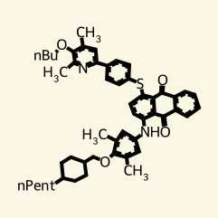 CCCCCC1CCC(COc2c(C)cc(Nc3ccc(Sc4ccc(-c5cc(C)c(OCCCC)c(C)n5)cc4)c4c3C(=O)c3ccccc3C4=O)cc2C)CC1